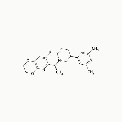 Cc1cc([C@@H]2CCCN([C@@H](C)c3nc4c(cc3F)OCCO4)C2)cc(C)n1